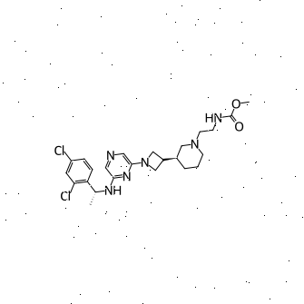 COC(=O)NCCN1CCC[C@@H](C2CN(c3cncc(N[C@H](C)c4ccc(Cl)cc4Cl)n3)C2)C1